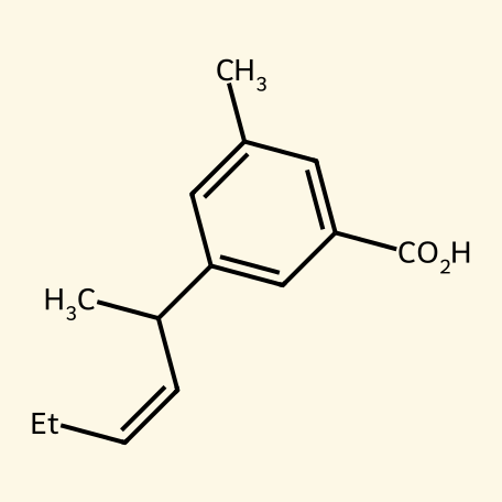 CC/C=C\C(C)c1cc(C)cc(C(=O)O)c1